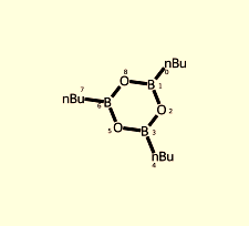 CCCCB1OB(CCCC)OB(CCCC)O1